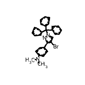 CN(C)c1ccc(-c2nn(C(c3ccccc3)(c3ccccc3)c3ccccc3)cc2Br)cc1